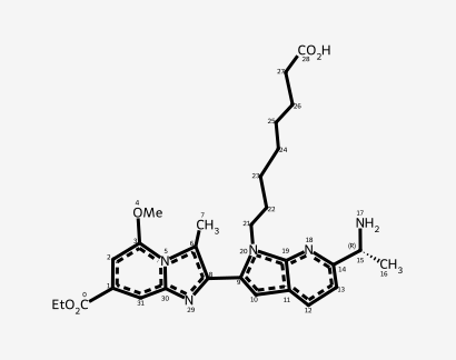 CCOC(=O)c1cc(OC)n2c(C)c(-c3cc4ccc([C@@H](C)N)nc4n3CCCCCCCC(=O)O)nc2c1